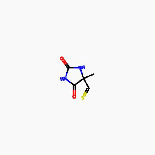 CC1(C=S)NC(=O)NC1=O